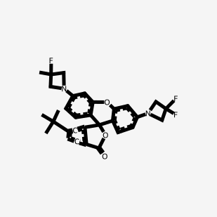 CC1(F)CN(c2ccc3c(c2)Oc2cc(N4CC(F)(F)C4)ccc2C32OC(=O)c3ccc(C(C)(C)C)cc32)C1